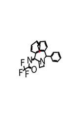 O=C(N=C(c1ccccc1)C1CCN1C(c1ccccc1)c1ccccc1)C(F)(F)F